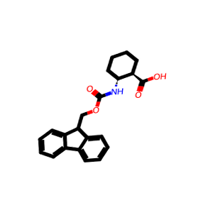 O=C(N[C@@H]1CCCC[C@H]1C(=O)O)OCC1c2ccccc2-c2ccccc21